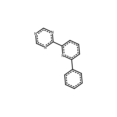 c1ccc(-c2cccc(-c3ncncn3)n2)cc1